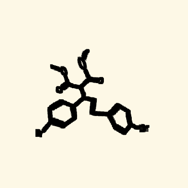 COC(=O)C(C(=O)OC)C(C=Cc1ccc(Br)cc1)c1ccc(Br)cc1